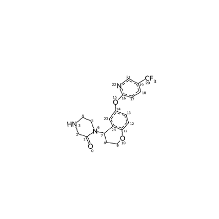 O=C1CNCCN1C1CCOc2ccc(Oc3ccc(C(F)(F)F)cn3)cc21